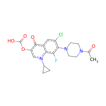 CC(=O)N1CCN(c2c(Cl)cc3c(=O)c(OC(=O)O)cn(C4CC4)c3c2F)CC1